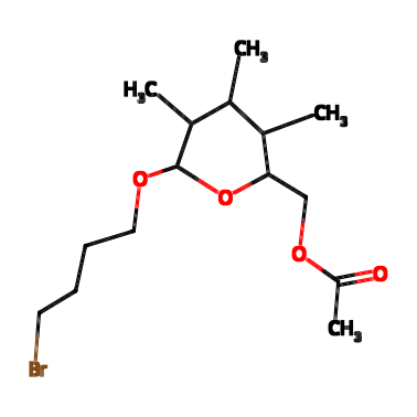 CC(=O)OCC1OC(OCCCCBr)C(C)C(C)C1C